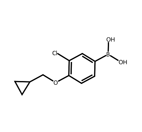 OB(O)c1ccc(OCC2CC2)c(Cl)c1